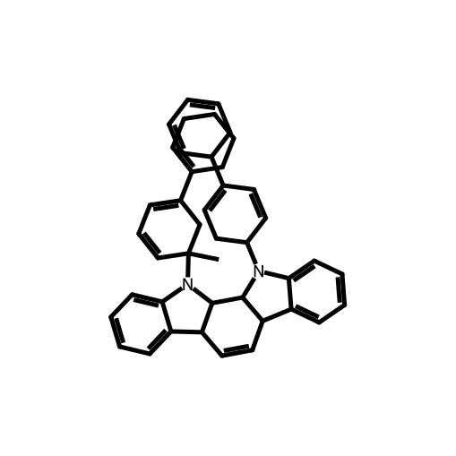 CC1(N2c3ccccc3C3C=CC4c5ccccc5N(C5C=CC(C6C=CC=CC6)=CC5)C4C32)C=CC=C(C2=CCCCC2)C1